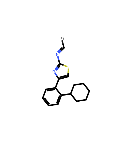 [CH2]CC=Nc1nc(-c2ccccc2C2CCCCC2)cs1